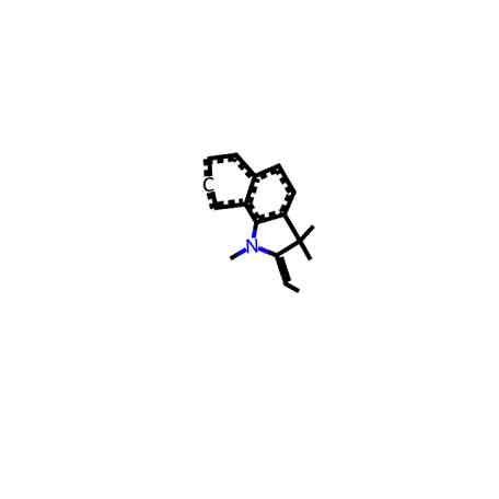 C/C=C1/N(C)c2c(ccc3ccccc23)C1(C)C